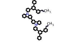 C/C=C/c1cccc(-c2cc(-c3ccccc3)cc(-c3cccc(-n4c5ccccc5c5cc(-c6ccc7c(c6)c6ccccc6n7-c6cccc(-c7cc(-c8ccccc8)cc(-c8cccc(/C=C/C)c8)c7)c6)ccc54)c3)c2)c1